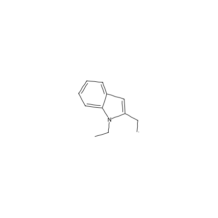 [CH2]Cc1cc2ccccc2n1CC